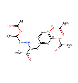 CCC(=O)OC(C)CN[C@@H](Cc1ccc(OC(=O)OCC(C)C)c(OC(=O)OCC(C)C)c1)C(=O)OC